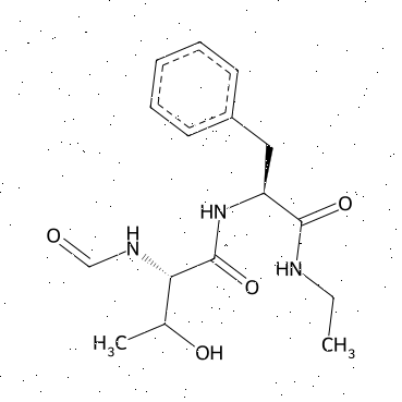 CCNC(=O)[C@H](Cc1ccccc1)NC(=O)[C@@H](NC=O)C(C)O